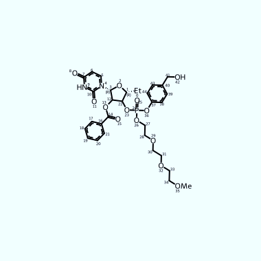 CC[C@H]1O[C@@H](n2ccc(=O)[nH]c2=O)C(OC(=O)c2ccccc2)C1OP(=O)(OCCOCCOCCOC)Oc1ccc(CO)cc1